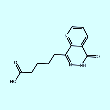 O=C(O)CCCCc1n[nH]c(=O)c2cccnc12